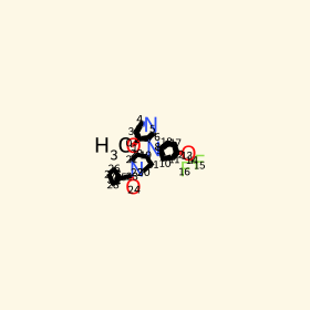 COc1ccncc1N(c1ccc(OC(F)F)cc1)C1CCN(C(=O)C23CC(C2)C3)CC1